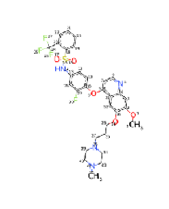 COc1cc2nccc(Oc3ccc(NS(=O)(=O)c4ccccc4C(F)(F)F)cc3F)c2cc1OCCCN1CCN(C)CC1